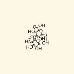 CC(=O)N[C@@H]1[C@H](O[C@@H]2[C@@H](O)[C@H](O)O[C@H](C(=O)O)[C@H]2O)O[C@H](CO)[C@H](O)[C@@H]1O